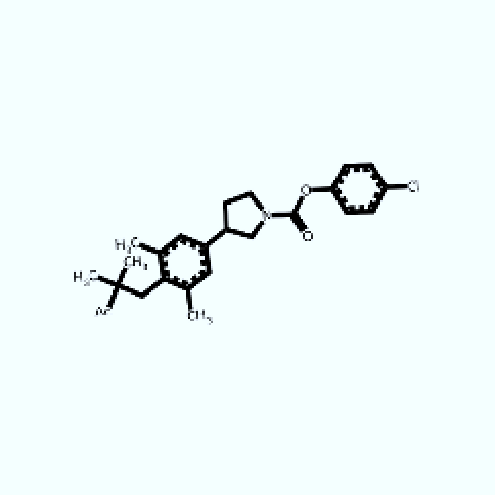 CC(=O)C(C)(C)Cc1c(C)cc(C2CCN(C(=O)Oc3ccc(Cl)cc3)C2)cc1C